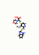 Cc1c(SCC(C(=O)O)N2CCOCC2)ccnc1CSc1nc2ccccc2[nH]1